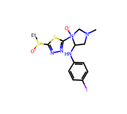 CC[S+]([O-])c1nnc([N+]2([O-])CN(C)CC2Nc2ccc(I)cc2)s1